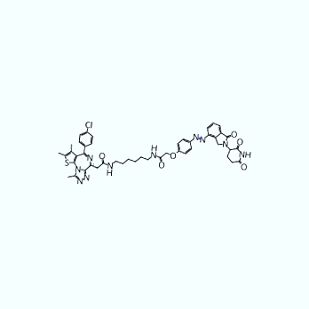 Cc1sc2c(c1C)C(c1ccc(Cl)cc1)=N[C@@H](CC(=O)NCCCCCCNC(=O)COc1ccc(/N=N/c3cccc4c3CN(C3CCC(=O)NC3=O)C4=O)cc1)c1nnc(C)n1-2